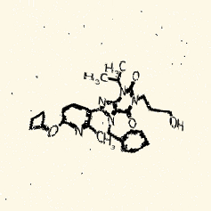 Cc1nc(OC2CCC2)ccc1-c1nc2c(c(=O)n(CCCO)c(=O)n2C(C)C)n1Cc1ccccc1